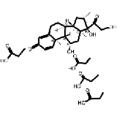 CCC(=O)O.CCC(=O)O.CCC(=O)O.CCC(=O)O.C[C@H]1C[C@H]2[C@@H]3CCC4=CC(=O)C=C[C@]4(C)[C@@]3(F)[C@@H](O)C[C@]2(C)[C@@]1(O)C(=O)CO